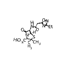 CCc1noc(CC(=O)N[C@@H]2C(=O)N3[C@@H]2SC(C)(C)[C@@H]3C(=O)O)n1